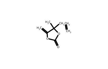 C=C.C=C1OC(=O)OC1(C)C